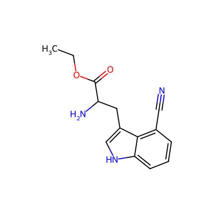 CCOC(=O)C(N)Cc1c[nH]c2cccc(C#N)c12